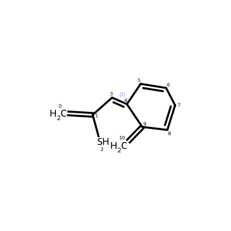 C=C(S)/C=c1/ccccc1=C